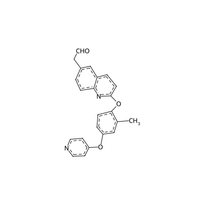 Cc1cc(Oc2ccncc2)ccc1Oc1ccc2cc(CC=O)ccc2n1